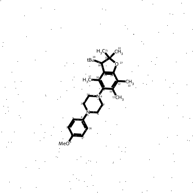 COc1ccc(N2CCN(c3c(C)c(C)c4c(c3C)C(C(C)(C)C)C(C)(C)O4)CC2)cc1